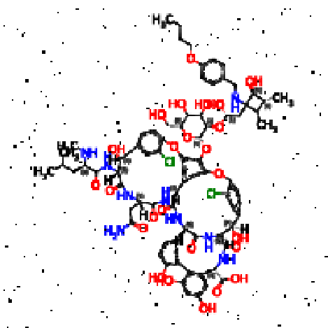 CCCCOc1ccc(CNC2(C[C@@H](O)O[C@@H]3C(O)C(O)[C@@H](CO)O[C@H]3Oc3c4cc5cc3Oc3ccc(cc3Cl)[C@@H](O)[C@@H](NC(=O)[C@@H](CC(C)C)NC)C(=O)N[C@@H](CC(N)=O)C(=O)N[C@H]5C(=O)N[C@@H]3C(=O)N[C@H](C(=O)N[C@H](C(=O)O)c5cc(O)cc(O)c5-c5cc3ccc5O)[C@H](O)c3ccc(c(Cl)c3)O4)C(C)[C@@H](C)[C@@H]2O)cc1